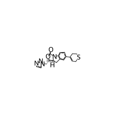 O=C1O[C@@H](Cn2ccnn2)[C@@H]2Cc3cc(C4=CCSCC4)ccc3N12